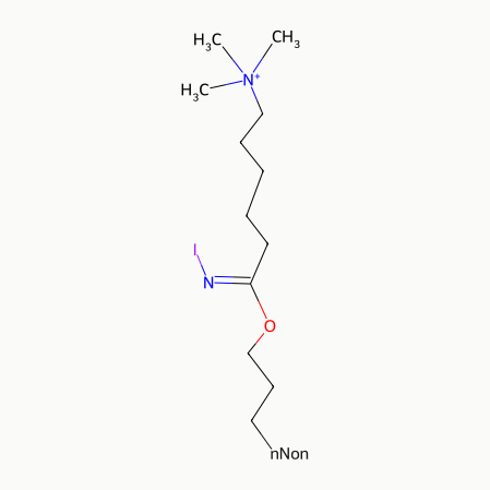 CCCCCCCCCCCCOC(CCCCC[N+](C)(C)C)=NI